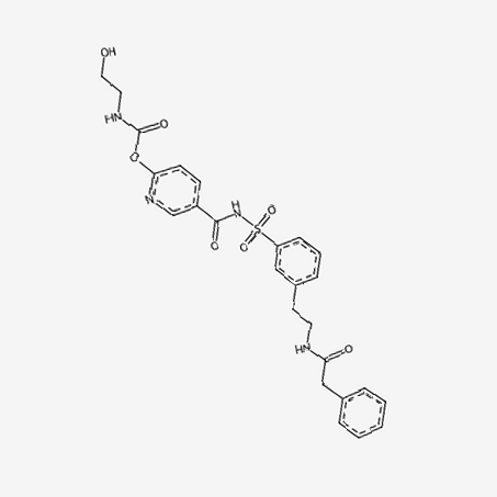 O=C(Cc1ccccc1)NCCc1cccc(S(=O)(=O)NC(=O)c2ccc(OC(=O)NCCO)nc2)c1